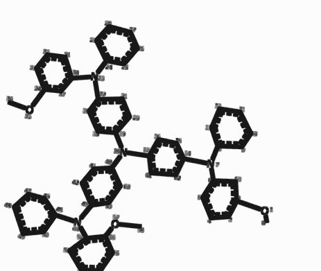 COc1cccc(N(c2ccccc2)c2ccc(N(c3ccc(N(c4ccccc4)c4cccc(OC)c4)cc3)c3ccc(N(c4ccccc4)c4ccccc4OC)cc3)cc2)c1